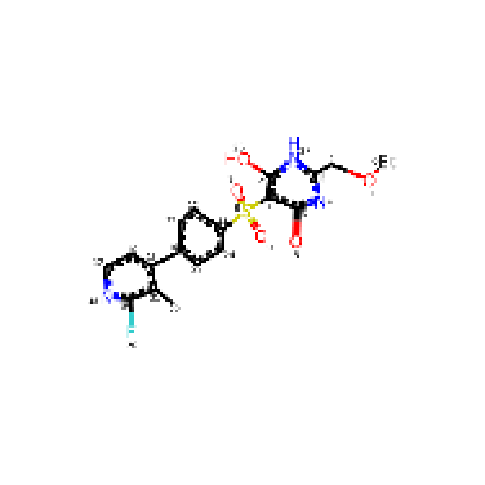 CCOCc1nc(=O)c(S(=O)(=O)c2ccc(-c3ccnc(F)c3C)cc2)c(O)[nH]1